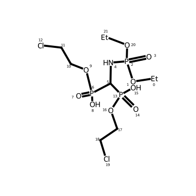 CCOP(=O)(NC(P(=O)(O)OCCCl)P(=O)(O)OCCCl)OCC